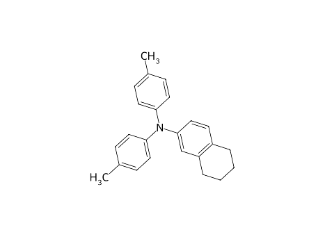 Cc1ccc(N(c2ccc(C)cc2)c2ccc3c(c2)CCCC3)cc1